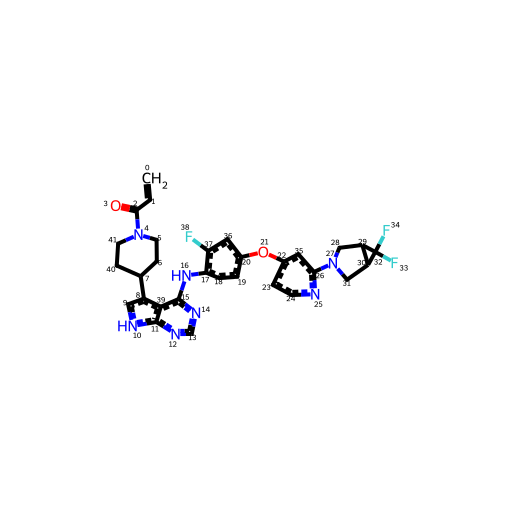 C=CC(=O)N1CCC(c2c[nH]c3ncnc(Nc4ccc(Oc5ccnc(N6CC7C(C6)C7(F)F)c5)cc4F)c23)CC1